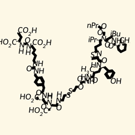 CCCC(=O)OCN(C(=O)[C@@H](NC(=O)[C@H]1CCCCN1C)C(C)CC)[C@H](CCc1nc(C(=O)N[C@@H](Cc2ccc(O)cc2)C[C@H](C)C(=O)NNC(=O)OCCSSCCNC(=O)[C@H](CC(=O)O)NC(=O)[C@H](CC(=O)O)NC(=O)Cc2ccc(CNC(=O)NCCCC[C@H](NC(=O)N[C@@H](CCC(=O)O)C(=O)O)C(=O)O)cc2)cs1)C(C)C